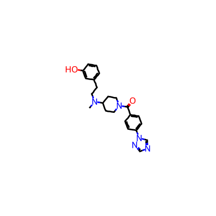 CN(CCc1cccc(O)c1)C1CCN(C(=O)c2ccc(-n3cncn3)cc2)CC1